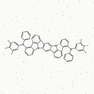 Cc1cc(N(c2ccccc2)c2cccc3c2c2cccc4c5cc6c(cc5n3c42)c2cccc3c4c(N(c5ccccc5)c5cc(C)c(C)c(C)c5)cccc4n6c23)cc(C)c1C